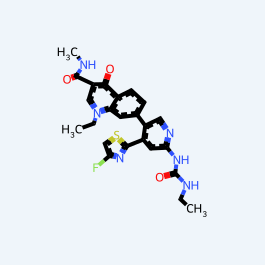 CCNC(=O)Nc1cc(-c2nc(F)cs2)c(-c2ccc3c(=O)c(C(=O)NC)cn(CC)c3c2)cn1